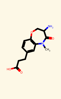 CN1C(=O)C(N)COc2ccc(CCC(=O)O)cc21